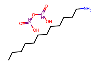 CCCCCCCCCCCCN.O=[PH](O)O[PH](=O)O